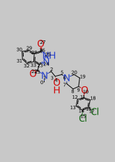 CN(C[C@@H](O)CN1CCC(Oc2ccc(Cl)c(Cl)c2)CC1)C(=O)c1n[nH]c(=O)c2ccccc12